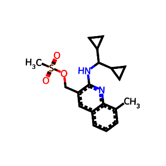 Cc1cccc2cc(COS(C)(=O)=O)c(NC(C3CC3)C3CC3)nc12